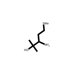 CSCCC(N)C(C)(C)O